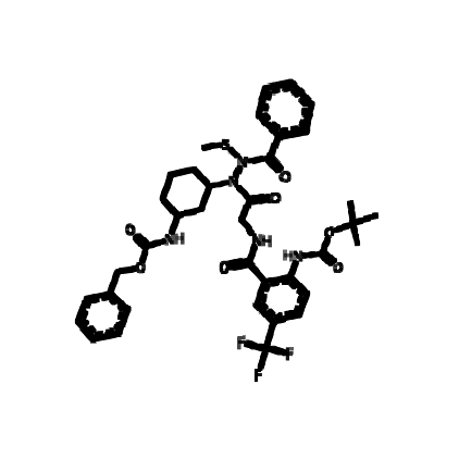 CSN(C(=O)c1ccccc1)N(C(=O)CNC(=O)c1cc(C(F)(F)F)ccc1NC(=O)OC(C)(C)C)C1CCCC(NC(=O)OCc2ccccc2)C1